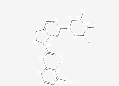 CC1CN(c2ccc3c(c2)N(C(=O)Cc2cccc(F)c2F)CC3)CC(C)N1C